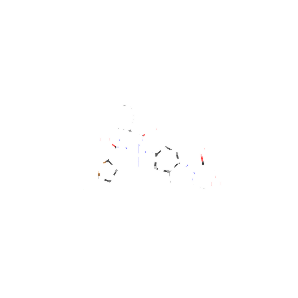 Cc1cc(NC(=O)C2(NC(=O)c3ccc(Br)s3)CCCCC2)ccc1N1CCOCC1=O